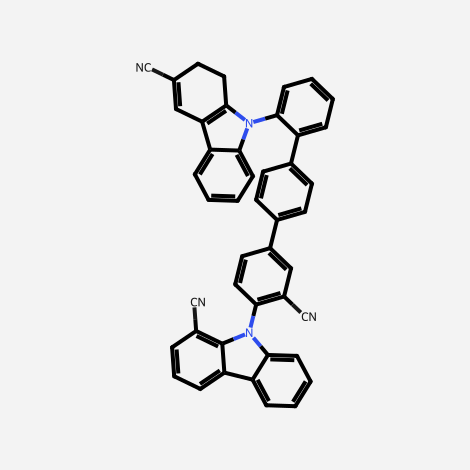 N#CC1=Cc2c(n(-c3ccccc3-c3ccc(-c4ccc(-n5c6ccccc6c6cccc(C#N)c65)c(C#N)c4)cc3)c3ccccc23)CC1